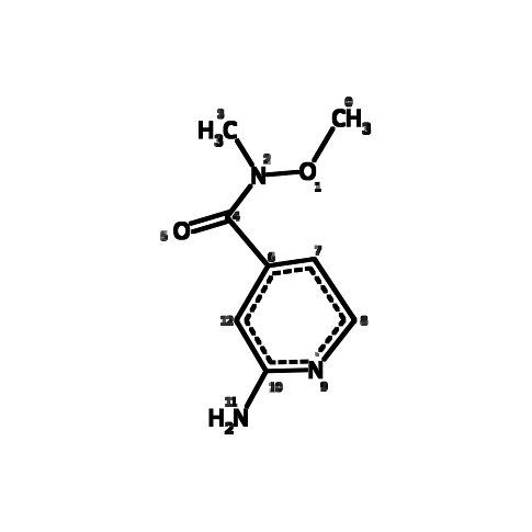 CON(C)C(=O)c1ccnc(N)c1